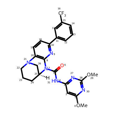 COc1cc(NC(=O)N2c3nc(-c4cccc(C(F)(F)F)c4)ccc3N3CCC[C@H]2C3)nc(OC)n1